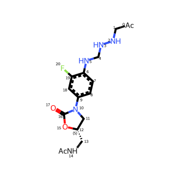 CC(=O)CNNCNc1ccc(N2C[C@H](CNC(C)=O)OC2=O)cc1F